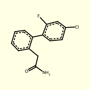 NC(=O)Cc1ccccc1-c1ccc(Cl)cc1F